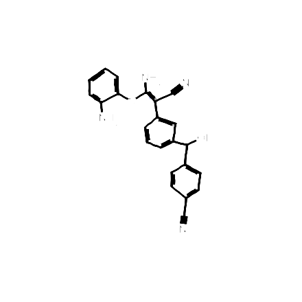 N#C/C(=C(\N)Sc1ccccc1N)c1cccc(C(O)c2ccc(C#N)cc2)c1